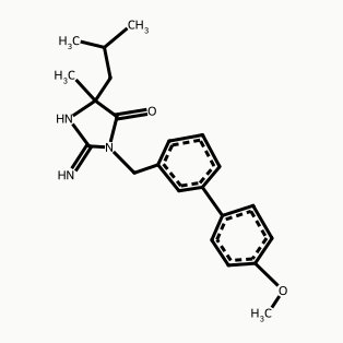 COc1ccc(-c2cccc(CN3C(=N)NC(C)(CC(C)C)C3=O)c2)cc1